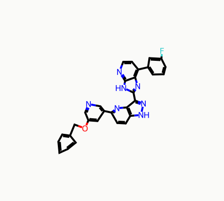 Fc1cccc(-c2ccnc3[nH]c(-c4n[nH]c5ccc(-c6cncc(OCc7ccccc7)c6)nc45)nc23)c1